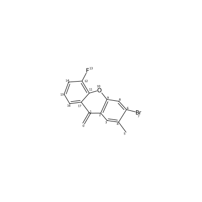 C=C1c2cc(C)c(Br)cc2Oc2c(F)cccc21